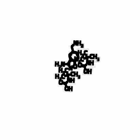 CC(C)(C)NC(=O)O.CC(C)(C)NC(=O)O.NCc1ccc2onc(N)c2c1